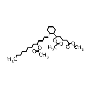 CCCCCCCCC(C=CC=C[C@@H]1CC=CC[C@H]1C(CCCC(=O)OC)OC(C)=O)OC(C)=O